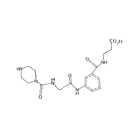 O=C(O)CCNC(=O)c1cccc(NC(=O)CNC(=O)N2CCNCC2)c1